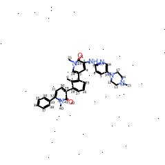 Cc1c(-c2cc(Nc3ccc(N4CCN(C)CC4)cn3)c(=O)n(C)c2)cccc1-c1ccc(-c2ccccc2)n(C)c1=O